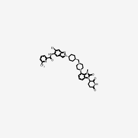 CCc1cc2nn([C@H]3CC[C@H](CN4CCN(c5cccc6c5n(C)c(=O)n6C5CCC(=O)NC5=O)CC4)CC3)cc2cc1NC(=O)c1cccc(C(F)(F)F)n1